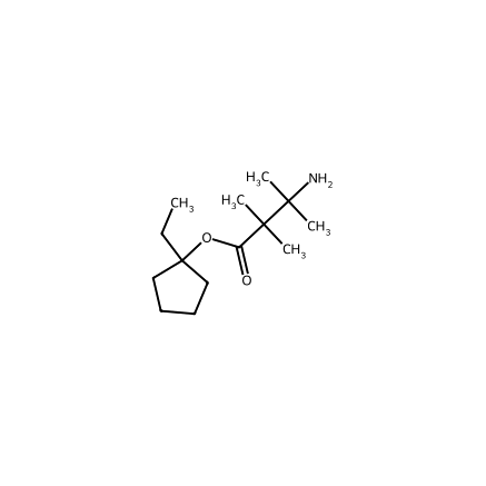 CCC1(OC(=O)C(C)(C)C(C)(C)N)CCCC1